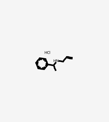 C=CCNC(C)c1ccccc1.Cl